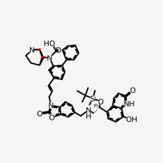 CC(C)(C)[Si](C)(C)O[C@@H](CNCc1ccc2c(c1)oc(=O)n2CC=Cc1ccc(-c2ccccc2)c(N(C(=O)O)C2CN3CCC2CC3)c1)c1ccc(O)c2[nH]c(=O)ccc12